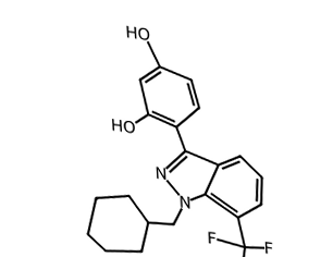 Oc1ccc(-c2nn(CC3CCCCC3)c3c(C(F)(F)F)cccc23)c(O)c1